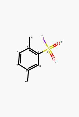 Cc1ccc(C)c(S(=O)(=O)I)c1